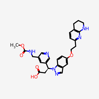 COC(=O)NCc1cncc([C@H](CC(=O)O)n2ncc3cc(OCCc4ccc5c(n4)NCCC5)ccc32)c1